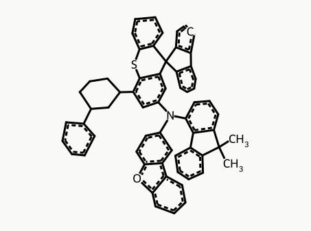 CC1(C)c2ccccc2-c2c(N(c3cc(C4CCCC(c5ccccc5)C4)c4c(c3)C3(c5ccccc5S4)c4ccccc4-c4ccccc43)c3ccc4oc5ccccc5c4c3)cccc21